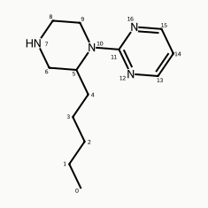 CCCCCC1CNCCN1c1ncccn1